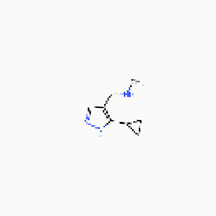 CNCc1cn[nH]c1C1CC1